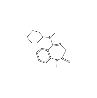 CN1C(=O)[CH]N=C(N(C)C2CCCCC2)c2ccccc21